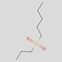 CC[CH]S(=O)(=O)CCCCC